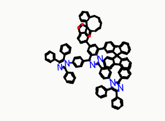 C=C1/C=C\C=C/Cc2ccccc2C12c1ccccc1-c1ccc(-c3cc(-c4ccc5c(c4)C4(c6ccccc6-c6ccccc64)c4ccccc4-5)c4nc(-c5ccc(-n6c(-c7ccccc7)nc(-c7ccccc7)c6-c6ccccc6)cc5)nc(-c5ccc(-n6c(-c7ccccc7)nc(-c7ccccc7)c6-c6ccccc6)cc5)c4c3)cc12